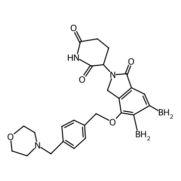 Bc1cc2c(c(OCc3ccc(CN4CCOCC4)cc3)c1B)CN(C1CCC(=O)NC1=O)C2=O